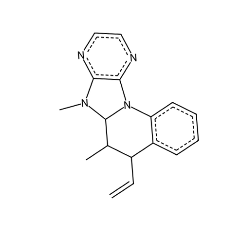 C=CC1c2ccccc2N2c3nccnc3N(C)C2C1C